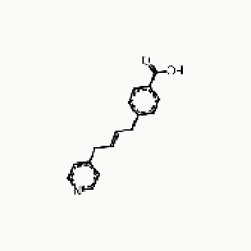 O=C(O)c1ccc(CC=CCc2ccncc2)cc1